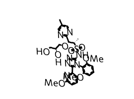 COc1cccc(-c2nnc(NS(=O)(=O)[C@@H](C)[C@H](OC[C@H](O)CO)c3ncc(C)cn3)n2-c2c(OC)cccc2OC)n1